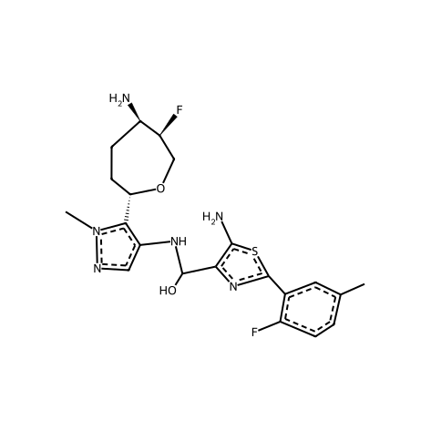 Cc1ccc(F)c(-c2nc(C(O)Nc3cnn(C)c3[C@@H]3CC[C@@H](N)[C@@H](F)CO3)c(N)s2)c1